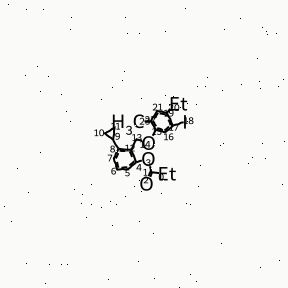 CCC(=O)Oc1cccc(C2CC2)c1COc1cc(I)c(CC)cc1C